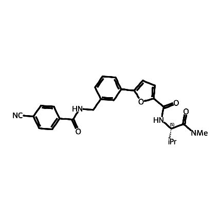 CNC(=O)[C@@H](NC(=O)c1ccc(-c2cccc(CNC(=O)c3ccc(C#N)cc3)c2)o1)C(C)C